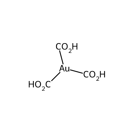 O=[C](O)[Au]([C](=O)O)[C](=O)O